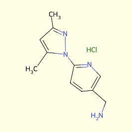 Cc1cc(C)n(-c2ccc(CN)cn2)n1.Cl